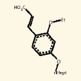 CCCCCCCOc1ccc(C=CC(=O)O)c(OCC)c1